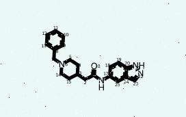 O=C(CC1CCN(Cc2ccccc2)CC1)Nc1ccc2[nH]ncc2c1